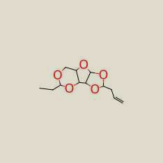 C=CCC1OC2OC3COC(CC)OC3C2O1